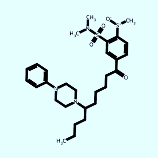 CCCCC(CCCCC(=O)c1ccc([S+](C)[O-])c(S(=O)(=O)N(C)C)c1)N1CCN(c2ccccc2)CC1